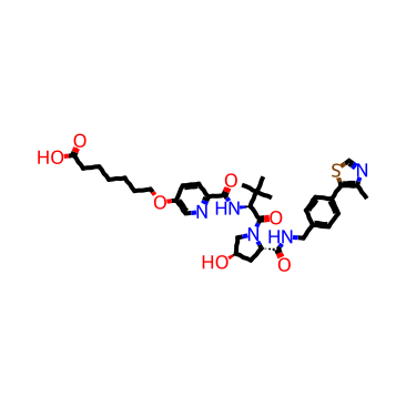 Cc1ncsc1-c1ccc(CNC(=O)[C@@H]2C[C@@H](O)CN2C(=O)[C@@H](NC(=O)c2ccc(OCCCCCCC(=O)O)cn2)C(C)(C)C)cc1